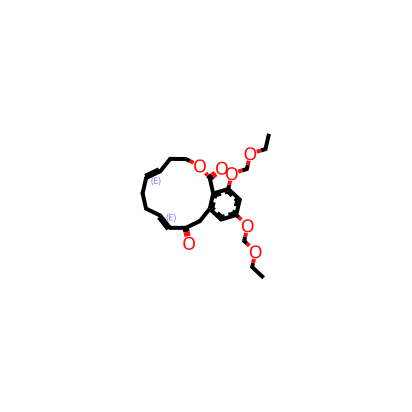 CCOCOc1cc2c(c(OCOCC)c1)C(=O)OCC/C=C/CC/C=C/C(=O)C2